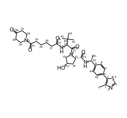 Cc1ncsc1-c1ccc([C@H](C)NC(=O)[C@@H]2C[C@@H](O)CN2C(=O)C(NC(=O)CCCCC(=O)N2CCC(=O)CC2)C(C)(C)C)cc1